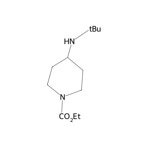 CCOC(=O)N1CCC(NC(C)(C)C)CC1